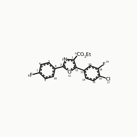 CCOC(=O)c1nc(-c2ccc(F)cc2)oc1-c1ccc(Cl)c(F)c1